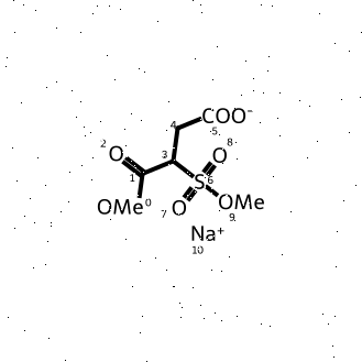 COC(=O)C(CC(=O)[O-])S(=O)(=O)OC.[Na+]